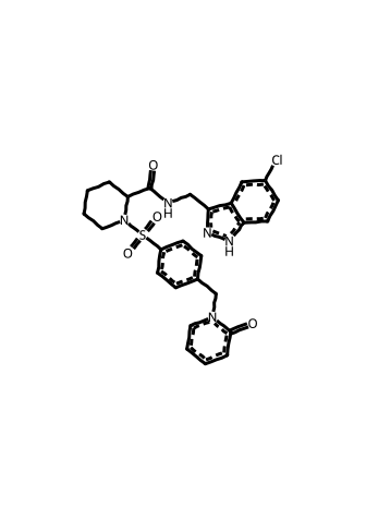 O=C(NCc1n[nH]c2ccc(Cl)cc12)C1CCCCN1S(=O)(=O)c1ccc(Cn2ccccc2=O)cc1